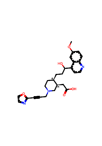 COc1ccc2nccc(C(O)CC[C@@H]3CCN(CC#Cc4ncco4)C[C@@H]3CC(=O)O)c2c1